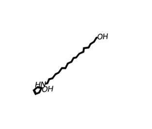 OCCCCCCCCCCCCCCCCCCNC1(O)CCCC1